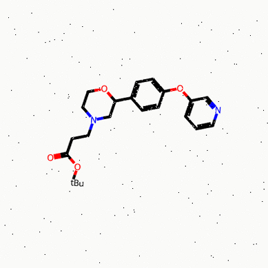 CC(C)(C)OC(=O)CCN1CCOC(c2ccc(Oc3cccnc3)cc2)C1